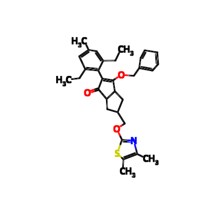 CCc1cc(C)cc(CC)c1C1=C(OCc2ccccc2)C2CC(COc3nc(C)c(C)s3)CC2C1=O